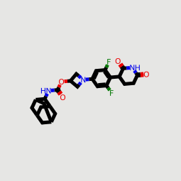 O=C1CCC(c2c(F)cc(N3CC(OC(=O)NC4C5CC6CC(C5)CC4C6)C3)cc2F)C(=O)N1